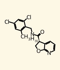 Cc1cc(Cl)cc(Cl)c1CNC(=O)[C@@H]1COc2ncccc21